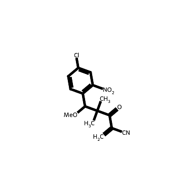 C=C(C#N)C(=O)C(C)(C)C(OC)c1ccc(Cl)cc1[N+](=O)[O-]